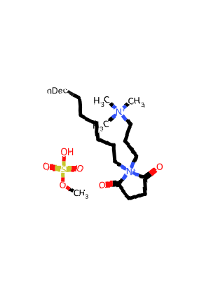 CCCCCCCCCCCCCCCC[N+]1(CCC[N+](C)(C)C)C(=O)CCC1=O.COS(=O)(=O)O